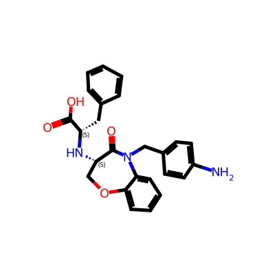 Nc1ccc(CN2C(=O)[C@@H](N[C@@H](Cc3ccccc3)C(=O)O)COc3ccccc32)cc1